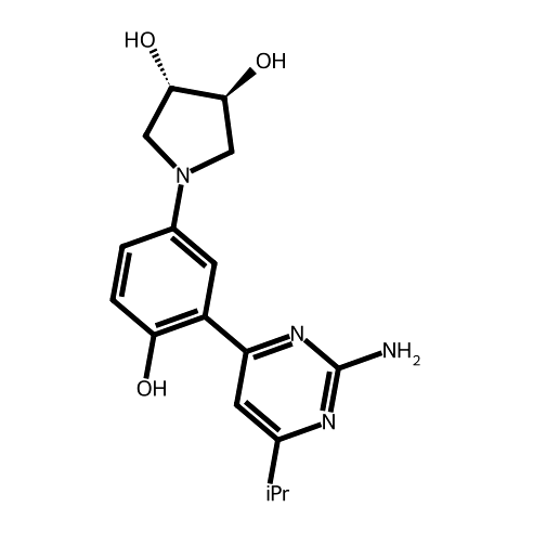 CC(C)c1cc(-c2cc(N3C[C@H](O)[C@@H](O)C3)ccc2O)nc(N)n1